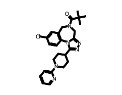 CC(C)(C)C(=O)N1Cc2cc(Cl)ccc2-n2c(nnc2C2CCN(c3ccccn3)CC2)C1